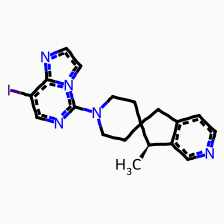 C[C@@H]1c2cnccc2CC12CCN(c1ncc(I)c3nccn13)CC2